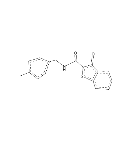 Cc1ccc(CNC(=O)n2sc3ccccc3c2=O)cc1